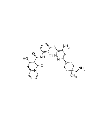 CC1(CN)CCN(c2nnc(Sc3cccc(NC(=O)c4c(O)nc5ccccn5c4=O)c3Cl)c(N)n2)CC1